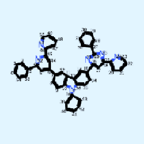 c1ccc(-c2cc(-c3ccc4c(c3)c3cc(-c5cc(-c6ccccn6)nc(-c6ccccc6)n5)ccc3n4-c3ccccc3)cc(-c3ccccn3)n2)cc1